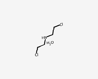 ClCCNCCCl.O